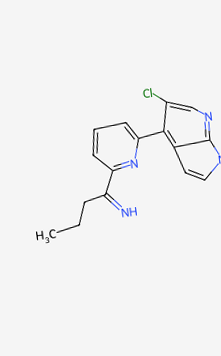 CCCC(=N)c1cccc(-c2c(Cl)cnc3[nH]ccc23)n1